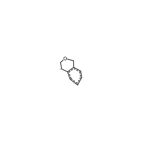 [C]1COCc2ccccc21